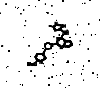 COc1ccc(C2CCN(c3nc(Nc4cc(C)n[nH]4)c4cccn4n3)C2)cn1